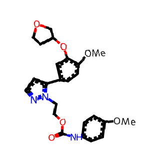 COc1ccc(NC(=O)OCCn2nccc2-c2ccc(OC)c(OC3CCOC3)c2)cc1